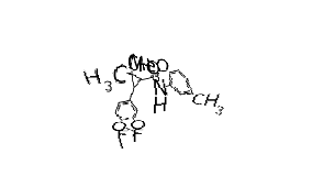 COc1ccc(C)cc1NC(=O)C1C(c2ccc3c(c2)OC(F)(F)O3)C1(C)C